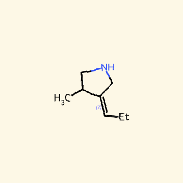 CC/C=C1\CNCC1C